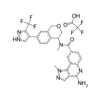 CN(C(=O)c1ccc2nc(N)c3cnn(C)c3c2c1)C1COCc2cc(-c3c[nH]nc3C(F)(F)F)ccc21.O=C(O)C(F)(F)F